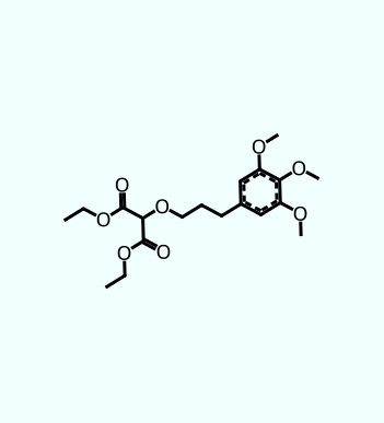 CCOC(=O)C(OCCCc1cc(OC)c(OC)c(OC)c1)C(=O)OCC